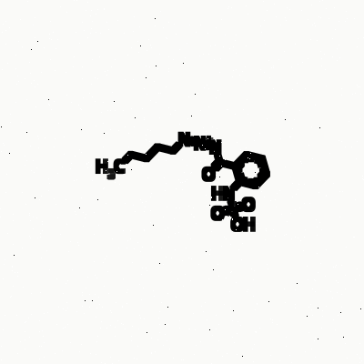 CCCCCN=[N+]=NC(=O)c1ccccc1NS(=O)(=O)O